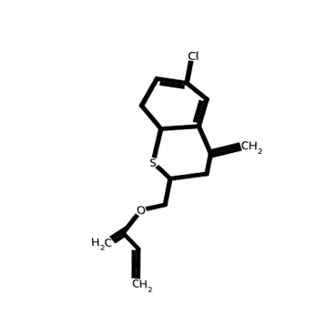 C=CC(=C)OCC1CC(=C)C2=CC(Cl)=CCC2S1